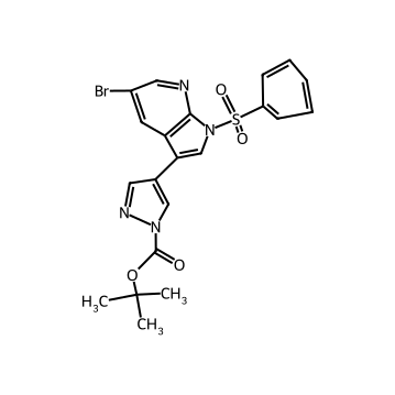 CC(C)(C)OC(=O)n1cc(-c2cn(S(=O)(=O)c3ccccc3)c3ncc(Br)cc23)cn1